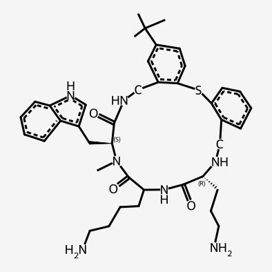 CN1C(=O)C(CCCCN)NC(=O)[C@@H](CCCN)NCc2ccccc2Sc2ccc(C(C)(C)C)cc2CNC(=O)[C@@H]1Cc1c[nH]c2ccccc12